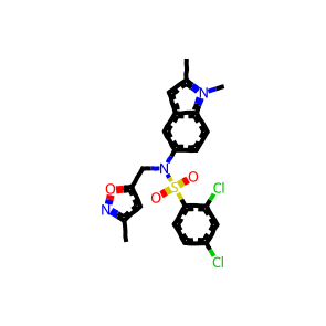 Cc1cc(CN(c2ccc3c(c2)cc(C)n3C)S(=O)(=O)c2ccc(Cl)cc2Cl)on1